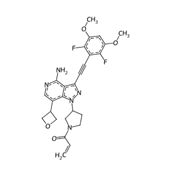 C=CC(=O)N1CCC(n2nc(C#Cc3c(F)c(OC)cc(OC)c3F)c3c(N)ncc(C4COC4)c32)C1